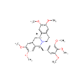 COc1cc2c(cc1OC)[C@H](Cc1cc(OC)c(OC)c(OC)c1)N1CCc3cc(OC)c(OC)cc3[C@@H]1C2